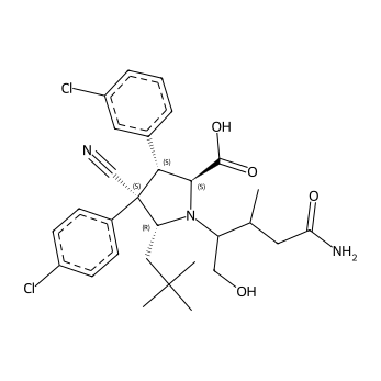 CC(CC(N)=O)C(CO)N1[C@H](C(=O)O)[C@@H](c2cccc(Cl)c2)[C@](C#N)(c2ccc(Cl)cc2)[C@H]1CC(C)(C)C